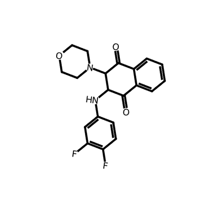 O=C1c2ccccc2C(=O)C(N2CCOCC2)C1Nc1ccc(F)c(F)c1